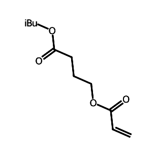 C=CC(=O)OCCCC(=O)OC(C)CC